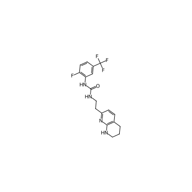 O=C(NCCc1ccc2c(n1)NCCC2)Nc1cc(C(F)(F)F)ccc1F